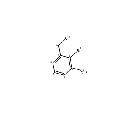 Cc1cccc(CCl)c1Br